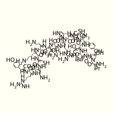 CC[C@H](C)[C@H](NC(=O)[C@@H]1C[C@@H](O)CN1C(=O)[C@@H](N)C(C)C)C(=O)N[C@H](C(=O)N[C@@H](Cc1ccc(O)cc1)C(=O)N[C@H](C(=O)N[C@@H](Cc1c[nH]cn1)C(=O)N[C@@H](CCCNC(=N)N)C(=O)N[C@@H](CCN)C(=O)N[C@H](C(=O)N[C@H](CCN)C(=O)N[C@@H](CCCCN)C(=O)N[C@@H](CS)C(=O)N[C@@H](CCN)C(=O)N[C@@H](CCCNC(=N)N)C(=O)N[C@@H](Cc1ccc(O)cc1)C(=O)O)[C@@H](C)O)C(C)(C)S)[C@@H](C)O